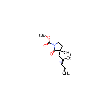 C=C/C=C(\CC)CC1(C)CCN(C(=O)OC(C)(C)C)C1=O